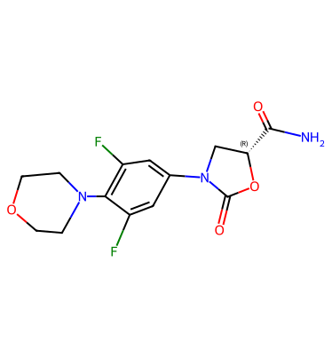 NC(=O)[C@H]1CN(c2cc(F)c(N3CCOCC3)c(F)c2)C(=O)O1